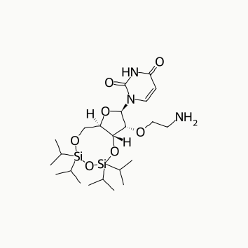 CC(C)[Si]1(C(C)C)OC[C@H]2O[C@@H](n3ccc(=O)[nH]c3=O)[C@H](OCCN)[C@@H]2O[Si](C(C)C)(C(C)C)O1